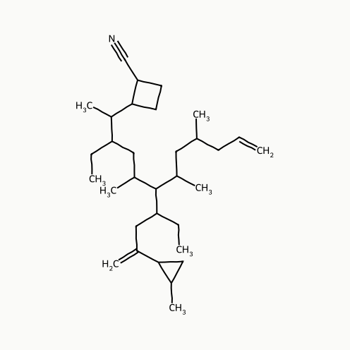 C=CCC(C)CC(C)C(C(C)CC(CC)C(C)C1CCC1C#N)C(CC)CC(=C)C1CC1C